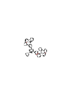 c1ccc(-c2nc(-c3cncc(-c4cccc(-c5ccccc5)c4-n4c5ccccc5c5ccccc54)c3)nc(-c3ccc(-n4c5ccccc5c5ccccc54)c(-c4ccccc4)c3)n2)cc1